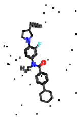 CNC1CCN(c2ccc(N(C)C(=O)c3ccc(C4CCCCC4)cc3)cc2F)C1